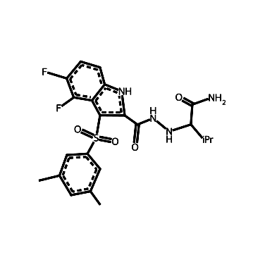 Cc1cc(C)cc(S(=O)(=O)c2c(C(=O)NNC(C(N)=O)C(C)C)[nH]c3ccc(F)c(F)c23)c1